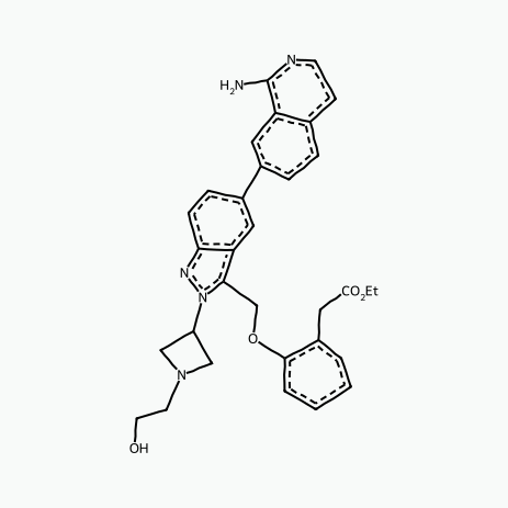 CCOC(=O)Cc1ccccc1OCc1c2cc(-c3ccc4ccnc(N)c4c3)ccc2nn1C1CN(CCO)C1